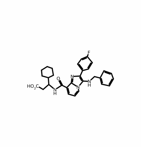 O=C(O)CC(NC(=O)c1cccn2c(NCc3ccccc3)c(-c3ccc(F)cc3)nc12)C1CCCCC1